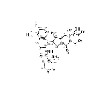 CC[C@]1(O)C(=O)OCc2c1cc1n(c2=O)Cc2c-1nc1cc(F)c(C)c3c1c2[C@H](NC(=O)C1(N)CCOCC1)CC3